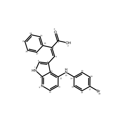 O=C(O)/C(=C/c1c[nH]c2nccc(Nc3ccc(Br)cc3)c12)c1ccccc1